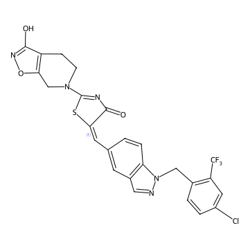 O=C1N=C(N2CCc3c(O)noc3C2)S/C1=C/c1ccc2c(cnn2Cc2ccc(Cl)cc2C(F)(F)F)c1